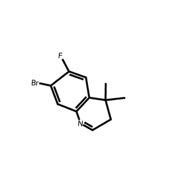 CC1(C)CC=Nc2cc(Br)c(F)cc21